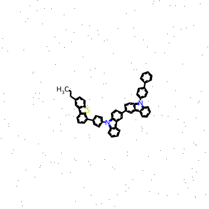 CCCc1ccc2sc3c(-c4ccc(-n5c6ccccc6c6cc(-c7ccc8c(c7)c7ccccc7n8-c7ccc(-c8ccccc8)cc7)ccc65)cc4)cccc3c2c1